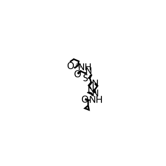 O=C(N[C@H]1CCCOC1)c1ncc(-c2cn3cc(NC(=O)C4CC4)nc3cn2)s1